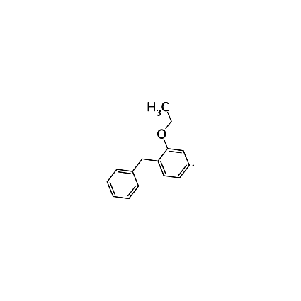 CCOc1c[c]ccc1Cc1ccccc1